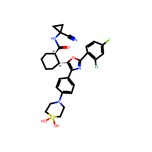 N#CC1(NC(=O)[C@@H]2CCCC[C@H]2c2oc(-c3ccc(F)cc3Cl)nc2-c2ccc(N3CCS(O)(O)CC3)cc2)CC1